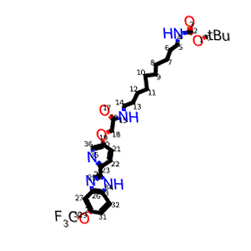 CC(C)(C)OC(=O)NCCCCCCCCCCNC(=O)COc1ccc(-c2nc3cc(OC(F)(F)F)ccc3[nH]2)nc1